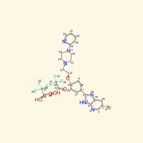 Brc1cnc2[nH]c(-c3ccc(OCCN4CCN(c5ccccn5)CC4)cc3)nc2c1.O=C(O)C(F)(F)F.O=C(O)C(F)(F)F